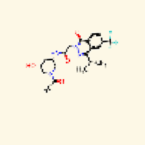 CC(=O)N1C[C@H](O)C[C@H](NC(=O)Cn2nc(C(C)C)c3cc(C(F)(F)F)ccc3c2=O)C1